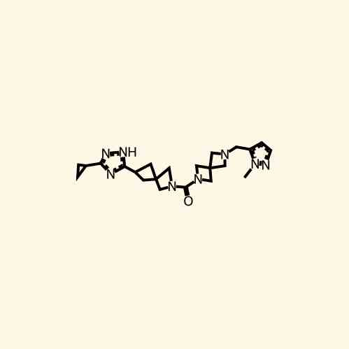 Cn1nccc1CN1CC2(C1)CN(C(=O)N1CC3(CC(c4nc(C5CC5)n[nH]4)C3)C1)C2